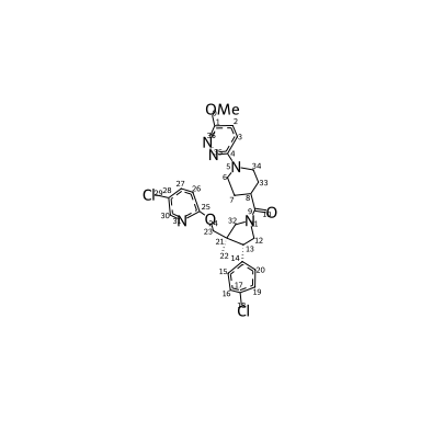 COc1ccc(N2CCC(C(=O)N3C[C@H](c4ccc(Cl)cc4)[C@@](C)(COc4ccc(Cl)cn4)C3)CC2)nn1